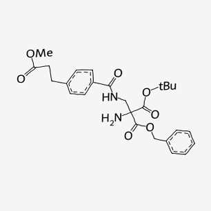 COC(=O)CCc1ccc(C(=O)NCC(N)(C(=O)OCc2ccccc2)C(=O)OC(C)(C)C)cc1